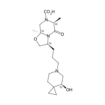 C[C@H]1C(=O)N2[C@@H](CCCN3CCC4(CC4)[C@H](O)C3)CO[C@@]2(C)CN1C(=O)O